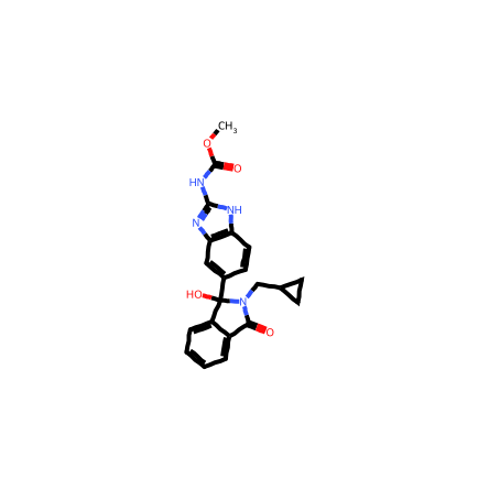 COC(=O)Nc1nc2cc(C3(O)c4ccccc4C(=O)N3CC3CC3)ccc2[nH]1